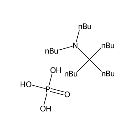 CCCCN(CCCC)C(CCCC)(CCCC)CCCC.O=P(O)(O)O